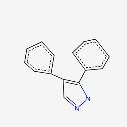 C1=N[N]C(c2ccccc2)=C1c1ccccc1